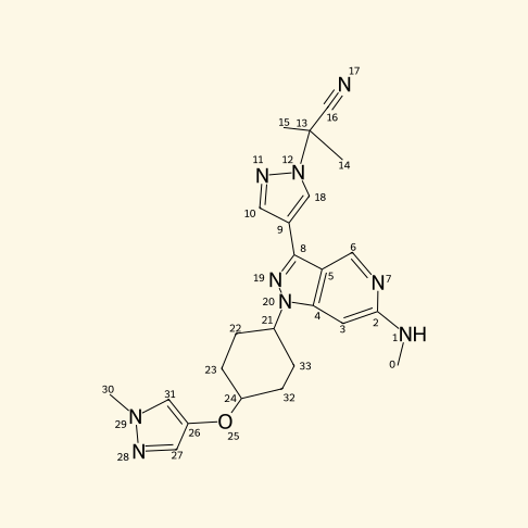 CNc1cc2c(cn1)c(-c1cnn(C(C)(C)C#N)c1)nn2C1CCC(Oc2cnn(C)c2)CC1